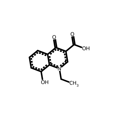 CCn1cc(C(=O)O)c(=O)c2cccc(O)c21